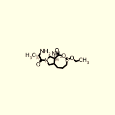 CCOB1CCCC2CN(C(=O)[C@H](C)N)C[C@@]2(N)C(=O)O1